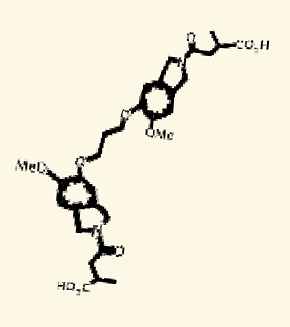 COc1cc2c(cc1OCCCOc1cc3c(cc1OC)CN(C(=O)CC(C)C(=O)O)C3)CN(C(=O)CC(C)C(=O)O)C2